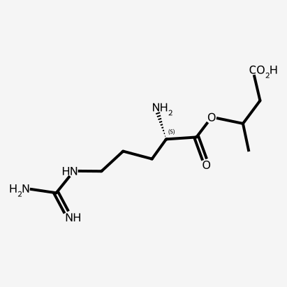 CC(CC(=O)O)OC(=O)[C@@H](N)CCCNC(=N)N